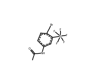 CC(=O)Nc1ccc(Br)c(S(F)(F)(F)(F)F)c1